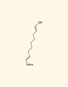 CCCCCCC=CCCCCCC=CO